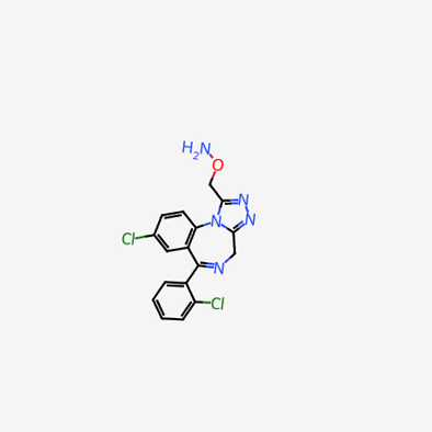 NOCc1nnc2n1-c1ccc(Cl)cc1C(c1ccccc1Cl)=NC2